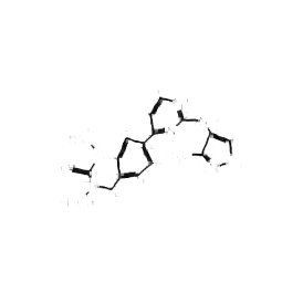 Cc1nocc1Nc1nccc(-c2ccc(CN(C)C(=O)OC(C)(C)C)cc2)n1